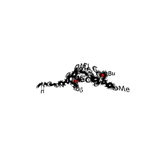 C#CCNCCOCCOc1ccc(C2=CN3C(=O)c4cc(OC)c(OCCCOc5cc6c(cc5OC)C(=O)N5C=C(c7ccc(OC)cc7)CC5C(O[Si](C)(C)C(C)(C)C)N6C(=O)OCC(Cl)(Cl)Cl)cc4N(C(=O)OCC(Cl)(Cl)Cl)C(O[Si](C)(C)C(C)(C)C)C3C2)cn1